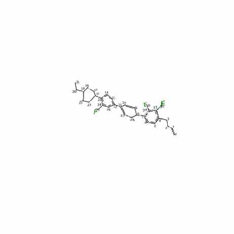 C=CCCc1ccc(C2C=CC(c3ccc(C4CCC(CC)CC4)c(F)c3)=CC2)c(F)c1F